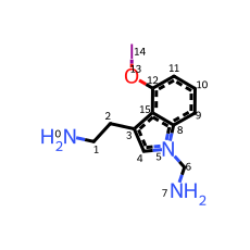 NCCc1cn(CN)c2cccc(OI)c12